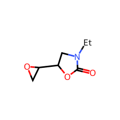 CCN1CC(C2CO2)OC1=O